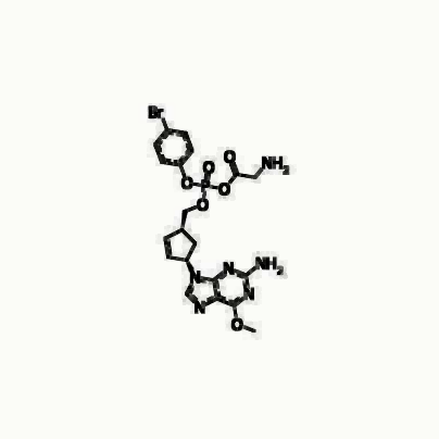 COc1nc(N)nc2c1ncn2[C@H]1C=C[C@@H](COP(=O)(OC(=O)CN)Oc2ccc(Br)cc2)C1